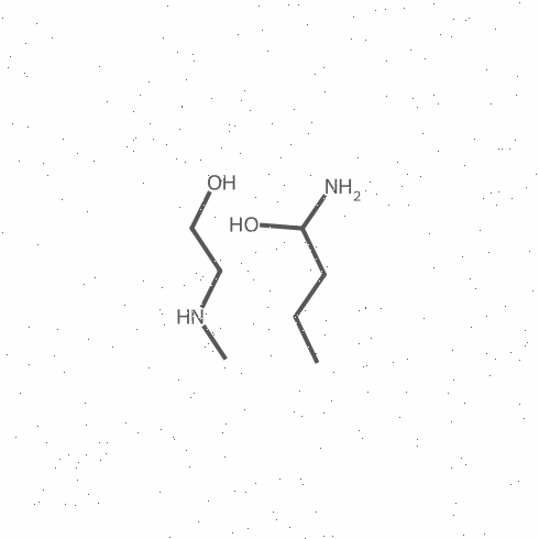 CCCC(N)O.CNCCO